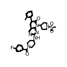 Cc1ccccc1-c1cc2cnc(NC3CCN(C(=O)c4ccc(F)cc4)CC3)nc2n(C2CCN(S(C)(=O)=O)CC2)c1=O